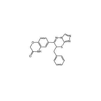 O=C1COc2ccc(C3=Nn4cnnc4SC3Cc3ccccc3)cc2N1